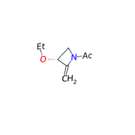 C=C1[C@H](OCC)CN1C(C)=O